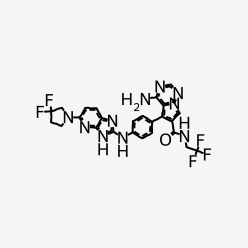 Nc1ncnn2cc(C(=O)NCC(F)(F)F)c(-c3ccc(Nc4nc5ccc(N6CCC(F)(F)C6)nc5[nH]4)cc3)c12